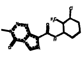 Cn1nnc2c(C(=O)NC3CCCC(Cl)C3C(F)(F)F)ncn2c1=O